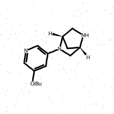 CC(C)COc1cncc(N2C[C@@H]3C[C@H]2CN3)c1